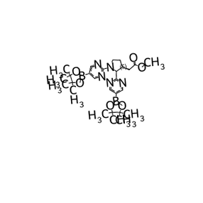 COC(=O)C[C@@H]1CCN(c2ncc(B3OC(C)(C)C(C)(C)O3)cn2)C1c1ncc(B2OC(C)(C)C(C)(C)O2)cn1